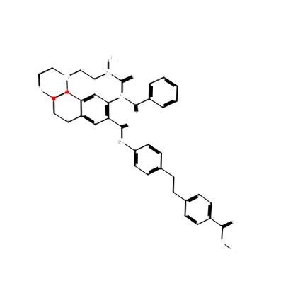 COC(=O)c1ccc(CCc2ccc(NC(=O)c3cc4c(cc3N(C(=O)c3ccccc3)C(=O)N(C)CCN3CCOCC3)CCCC4)cc2)cc1